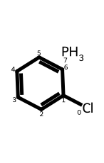 Clc1ccccc1.P